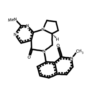 CNc1ncc2c(n1)N1CCC[C@H]1CN(c1cccc3ccn(C)c(=O)c13)C2=O